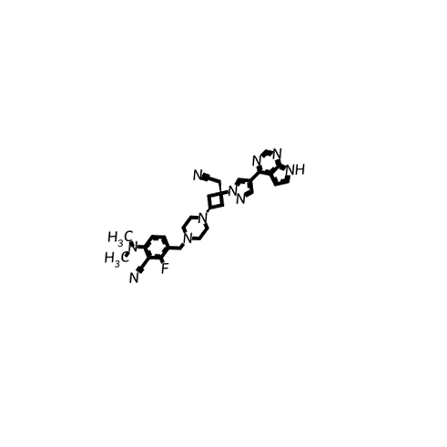 CN(C)c1ccc(CN2CCN([C@H]3C[C@](CC#N)(n4cc(-c5ncnc6[nH]ccc56)cn4)C3)CC2)c(F)c1C#N